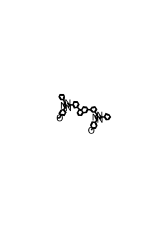 COc1ccc(-c2nc(-c3ccccc3)nc(-c3cccc(-c4ccc5c(-c6cccc(-c7nc(-c8ccccc8)nc(-c8ccc(OC)cc8)n7)c6)cccc5c4)c3)n2)cc1